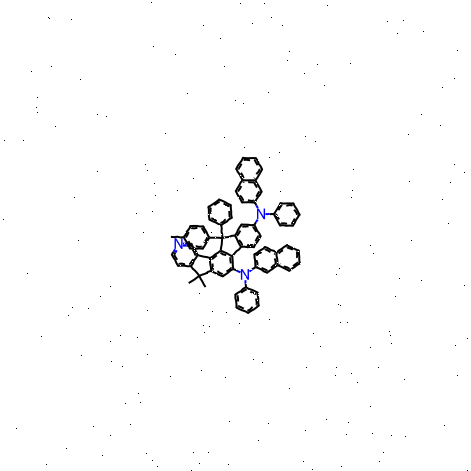 Cc1ccc(C2(c3ccccc3)c3cc(N(c4ccccc4)c4ccc5ccccc5c4)ccc3-c3c(N(c4ccccc4)c4ccc5ccccc5c4)cc4c(c32)-c2cnccc2C4(C)C)cc1